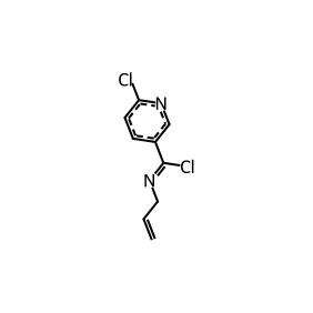 C=CCN=C(Cl)c1ccc(Cl)nc1